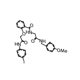 COc1ccc(CNC(=O)CNC(=O)c2ccccc2OCC(=O)Nc2ccc(I)cc2)cc1